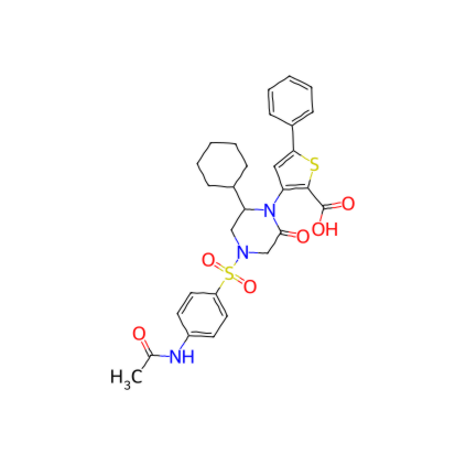 CC(=O)Nc1ccc(S(=O)(=O)N2CC(=O)N(c3cc(-c4ccccc4)sc3C(=O)O)C(C3CCCCC3)C2)cc1